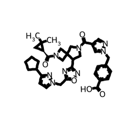 CC1(C)C[C@@H]1C(=O)N1CC2(CN(C(=O)c3cnn(Cc4ccc(C(=O)O)cc4)c3)CC2c2noc(Cn3ccc(C4CCCC4)n3)n2)C1